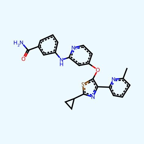 Cc1cccc(-c2nc(C3CC3)sc2Oc2ccnc(Nc3cccc(C(N)=O)c3)c2)n1